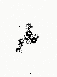 C=CC(=O)N1CC2(CCN(c3nc4c(c(-c5cccc(F)c5O)c3C#N)CCN(c3scnc3C)C4)C2)C1